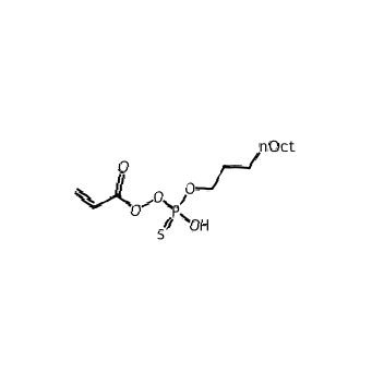 C=CC(=O)OOP(O)(=S)OCCCCCCCCCCC